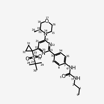 CCCNC(=O)Nc1ccc(-c2nc(N3CCOC[C@@H]3C)cc(C3(S(=O)(=O)C(C)(C)C)CC3)n2)cc1